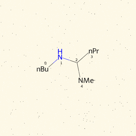 CCCCNC(CCC)[N]C